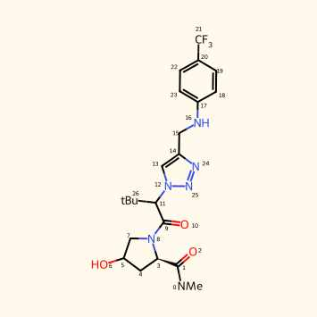 CNC(=O)[C@H]1CC(O)CN1C(=O)C(n1cc(CNc2ccc(C(F)(F)F)cc2)nn1)C(C)(C)C